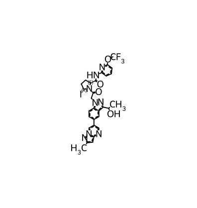 Cc1cc2ncc(-c3ccc4c(c3)c(C(C)O)nn4CC(=O)N3[C@H](I)CC[C@H]3C(=O)Nc3cccc(OC(F)(F)F)n3)cn2n1